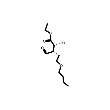 CCCCOCC[C@H](C=O)[C@@H](O)C(=O)OCC